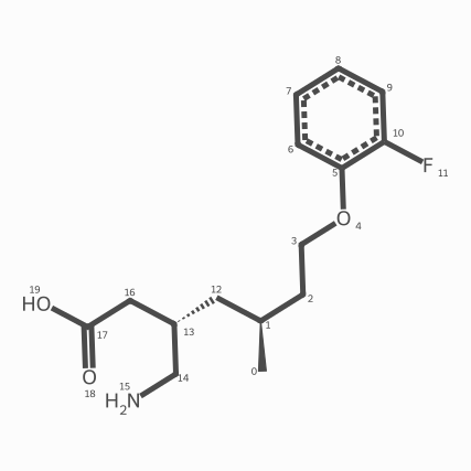 C[C@H](CCOc1ccccc1F)C[C@H](CN)CC(=O)O